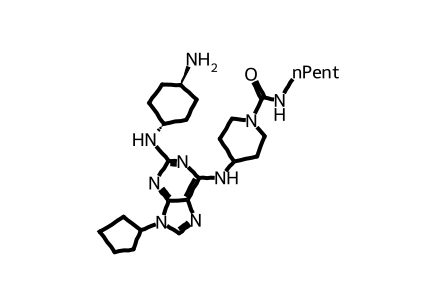 CCCCCNC(=O)N1CCC(Nc2nc(N[C@H]3CC[C@H](N)CC3)nc3c2ncn3C2CCCC2)CC1